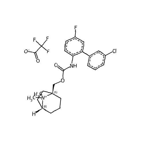 C[N+]1(C)[C@@H]2CCC[C@@]1(COC(=O)Nc1ccc(F)cc1-c1cccc(Cl)c1)CC2.O=C([O-])C(F)(F)F